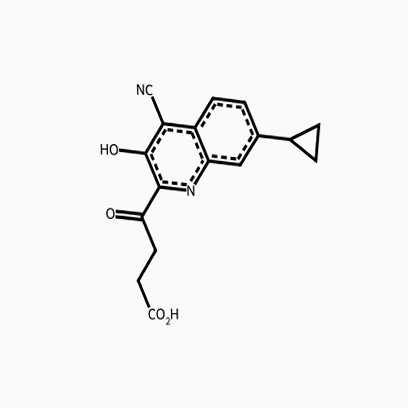 N#Cc1c(O)c(C(=O)CCC(=O)O)nc2cc(C3CC3)ccc12